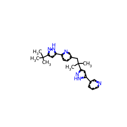 CC(C)(C)c1cc(-c2ccc(CC(C)(C)c3cc(-c4cccnc4)[nH]n3)cn2)[nH]n1